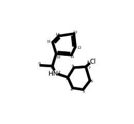 CC(NC1CCCC(Cl)C1)c1ccccc1